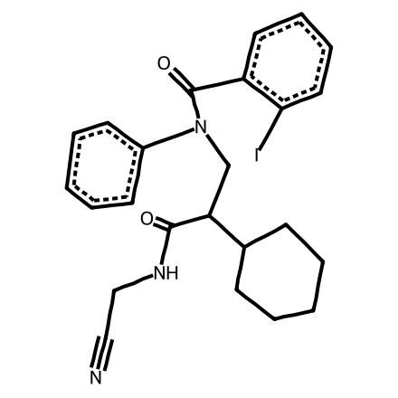 N#CCNC(=O)C(CN(C(=O)c1ccccc1I)c1ccccc1)C1CCCCC1